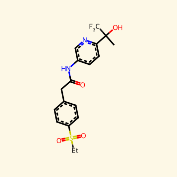 CCS(=O)(=O)c1ccc(CC(=O)Nc2ccc(C(C)(O)C(F)(F)F)nc2)cc1